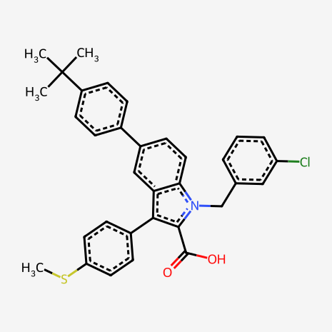 CSc1ccc(-c2c(C(=O)O)n(Cc3cccc(Cl)c3)c3ccc(-c4ccc(C(C)(C)C)cc4)cc23)cc1